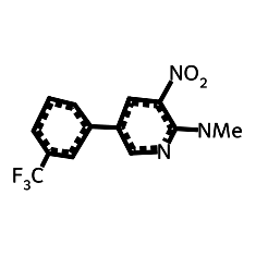 CNc1ncc(-c2cccc(C(F)(F)F)c2)cc1[N+](=O)[O-]